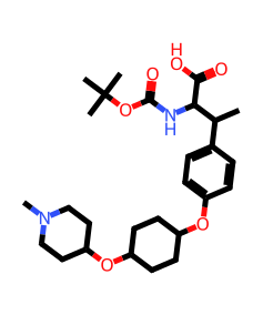 CC(c1ccc(OC2CCC(OC3CCN(C)CC3)CC2)cc1)C(NC(=O)OC(C)(C)C)C(=O)O